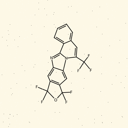 FC(F)(F)c1cc2ccccc2c2nc3cc4c(cc3n12)C(F)(F)OC4(F)F